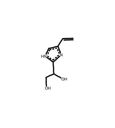 C=Cc1c[nH]c(C(O)CO)n1